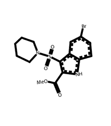 COC(=O)c1[nH]c2ccc(Br)cc2c1S(=O)(=O)N1CCCCC1